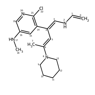 C=CN/C=C(\C=C(/C)N1CCCCC1)c1cc(NC)cnc1Cl